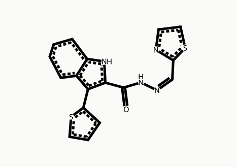 O=C(N/N=C\c1nccs1)c1[nH]c2ccccc2c1-c1cccs1